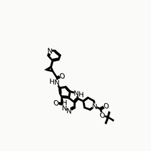 CC(C)(C)OC(=O)N1CCC(c2[nH]c3cc(NC(=O)C4CC4c4cccnc4)cc4c3c2C=NNC4=O)CC1